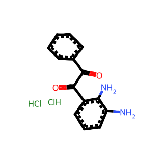 Cl.Cl.Nc1cccc(C(=O)C(=O)c2ccccc2)c1N